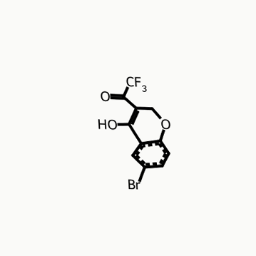 O=C(C1=C(O)c2cc(Br)ccc2OC1)C(F)(F)F